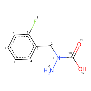 NN(Cc1ccccc1F)C(=O)O